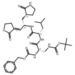 CC(C)C[C@H](NC(=O)[C@H](CNC(=O)OC(C)(C)C)NC(=O)OCc1ccccc1)C(=O)N[C@H](/C=C1\CCOC1=O)C[C@@H]1CCNC1=O